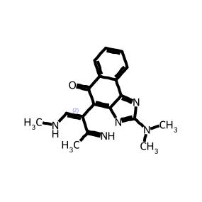 CN/C=C(\C(C)=N)C1=C2N=C(N(C)C)N=C2c2ccccc2C1=O